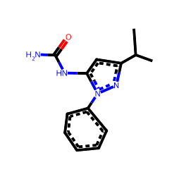 CC(C)c1cc(NC(N)=O)n(-c2ccccc2)n1